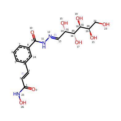 O=C(/C=C/c1cccc(C(=O)N/N=C/[C@H](O)[C@@H](O)[C@@H](O)[C@H](O)CO)c1)NO